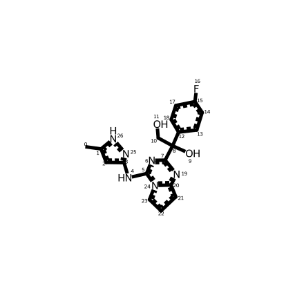 Cc1cc(Nc2nc(C(O)(CO)c3ccc(F)cc3)nc3cccn23)n[nH]1